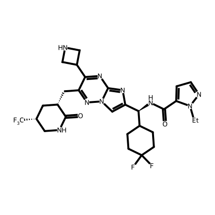 CCn1nccc1C(=O)N[C@H](c1cn2nc(C[C@H]3C[C@@H](C(F)(F)F)CNC3=O)c(C3CNC3)nc2n1)C1CCC(F)(F)CC1